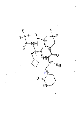 CC[C@H]1CC(F)(F)C[C@@H](C(=O)N[C@H](C#N)/C=C2\CCCNC2=O)N1C(=O)[C@@H](CC1CCC1)NC(=O)C(F)(F)F